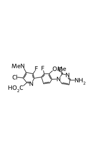 CNc1c(F)c(-c2ccc(-n3ccc(N)nc3=O)c(OC)c2F)nc(C(=O)O)c1Cl